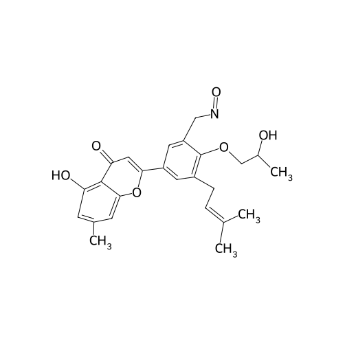 CC(C)=CCc1cc(-c2cc(=O)c3c(O)cc(C)cc3o2)cc(CN=O)c1OCC(C)O